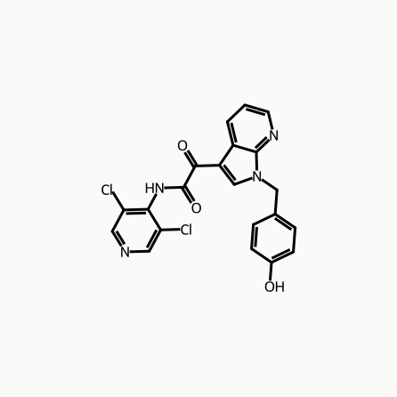 O=C(Nc1c(Cl)cncc1Cl)C(=O)c1cn(Cc2ccc(O)cc2)c2ncccc12